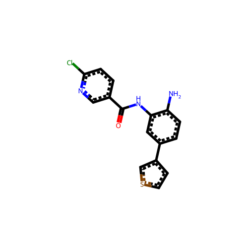 Nc1ccc(-c2ccsc2)cc1NC(=O)c1ccc(Cl)nc1